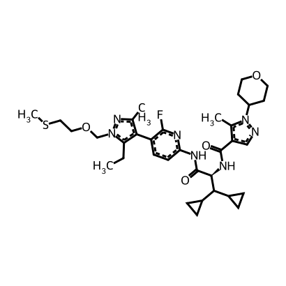 CCc1c(-c2ccc(NC(=O)[C@@H](NC(=O)c3cnn(C4CCOCC4)c3C)C(C3CC3)C3CC3)nc2F)c(C)nn1COCCSC